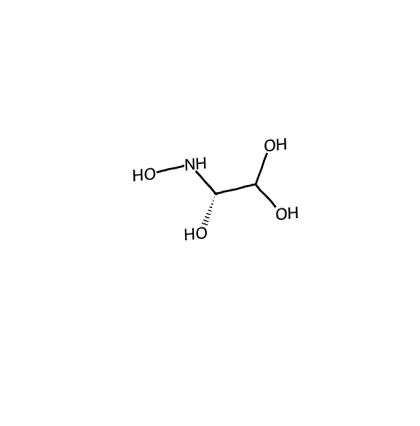 ON[C@@H](O)C(O)O